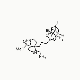 COC(=O)[C@]12CNC(CN)[C@@]1(CCCB1O[C@@H]3C[C@@H]4C[C@@H](C4(C)C)[C@]3(C)O1)CCN2